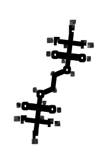 O=S(=O)(OCCOS(=O)(=O)C(F)(F)F)C(F)(F)F